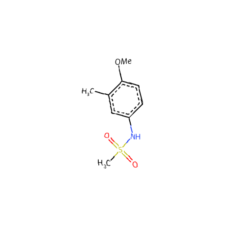 COc1ccc(NS(C)(=O)=O)cc1C